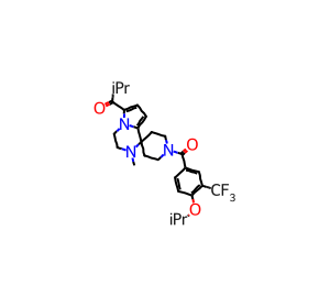 CC(C)Oc1ccc(C(=O)N2CCC3(CC2)c2ccc(C(=O)C(C)C)n2CCN3C)cc1C(F)(F)F